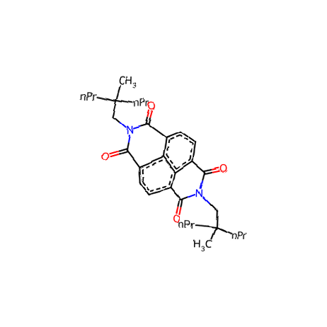 CCCC(C)(CCC)CN1C(=O)c2ccc3c4c(ccc(c24)C1=O)C(=O)N(CC(C)(CCC)CCC)C3=O